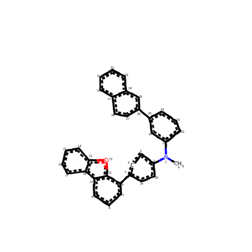 CN(c1ccc(-c2cccc3c2oc2ccccc23)cc1)c1cccc(-c2ccc3ccccc3c2)c1